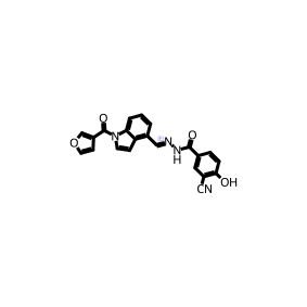 N#Cc1cc(C(=O)N/N=C/c2cccc3c2ccn3C(=O)c2ccoc2)ccc1O